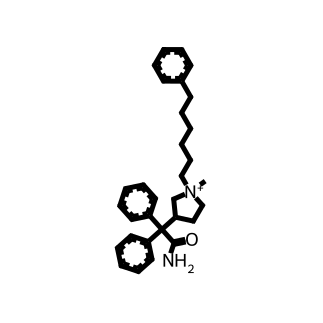 C[N+]1(CCCCCCc2ccccc2)CCC(C(C(N)=O)(c2ccccc2)c2ccccc2)C1